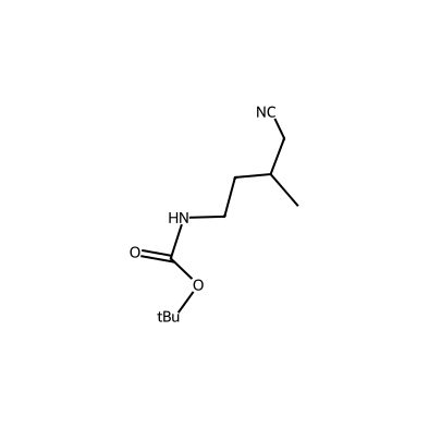 CC(CC#N)CCNC(=O)OC(C)(C)C